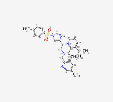 Cc1ccc(S(=O)(=O)n2cnc(CCN(Cc3ncc(C)cc3C)Cc3ncccc3C(C)C)c2)cc1